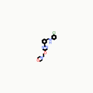 Clc1cccc(NCc2cccc(-c3ncc(OCCN4CCOCC4)cn3)c2)c1